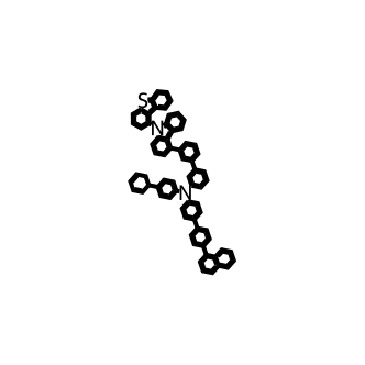 C1=CCC(c2ccc(N(c3ccc(-c4ccc(-c5cccc6ccccc56)cc4)cc3)c3cccc(-c4cccc(-c5cccc6c5c5ccccc5n6-c5cccc6sc7ccccc7c56)c4)c3)cc2)C=C1